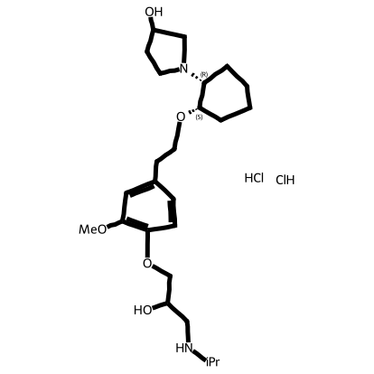 COc1cc(CCO[C@H]2CCCC[C@H]2N2CCC(O)C2)ccc1OCC(O)CNC(C)C.Cl.Cl